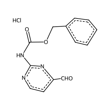 Cl.O=Cc1ccnc(NC(=O)OCc2ccccc2)n1